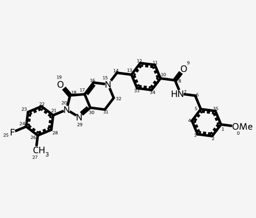 COc1cccc(CNC(=O)c2ccc(CN3C=C4C(=O)N(c5ccc(F)c(C)c5)N=C4CC3)cc2)c1